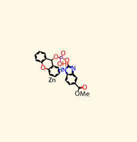 COC(=O)c1ccc2[nH]c(OP(=O)(O)OC3c4ccccc4Oc4ccccc43)nc2c1.[Zn]